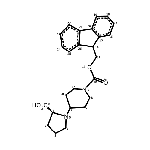 O=C(O)[C@@H]1CCCN1C1CCN(C(=O)OCC2c3ccccc3-c3ccccc32)CC1